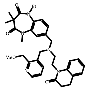 CCN1C(=O)C(C)(C)C(=O)N(C)c2cc(CN(CCN3C(=O)CCc4ccccc43)Cc3cccnc3COC)ccc21